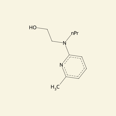 CCCN(CCO)c1cccc(C)n1